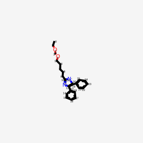 CCOCOCCCCCC1=NC(c2ccccc2)=C(c2ccccc2)[N]1